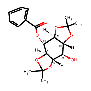 CC1(C)O[C@@H]2[C@@H](OC(=O)c3ccccc3)[C@@H]3OC(C)(C)O[C@H]3[C@H](O)[C@H]2O1